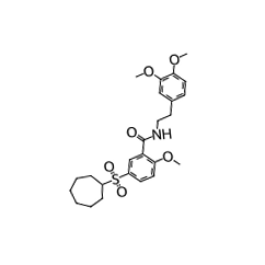 COc1ccc(CCNC(=O)c2cc(S(=O)(=O)C3CCCCCC3)ccc2OC)cc1OC